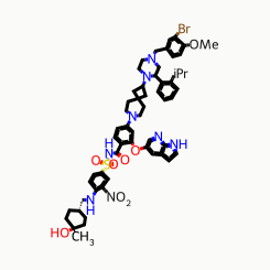 COc1ccc(CN2CCN(C3CC4(CCN(c5ccc(C(=O)NS(=O)(=O)c6ccc(NC[C@H]7CC[C@](C)(O)CC7)c([N+](=O)[O-])c6)c(Oc6cnc7[nH]ccc7c6)c5)CC4)C3)C(c3ccccc3C(C)C)C2)cc1Br